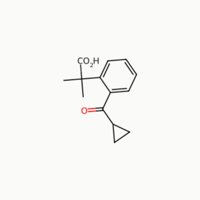 CC(C)(C(=O)O)c1ccccc1C(=O)C1CC1